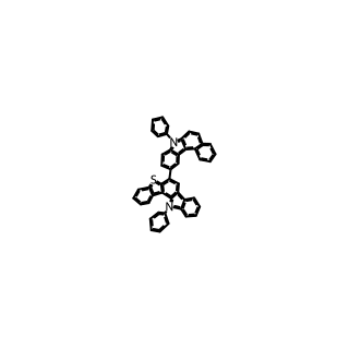 c1ccc(-n2c3ccc(-c4cc5c6ccccc6n(-c6ccccc6)c5c5c4sc4ccccc45)cc3c3c4ccccc4ccc32)cc1